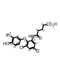 CC(C)c1cc(Oc2c(Cl)cc(Cl)cc2NC(=O)CCCC(=O)O)ccc1O